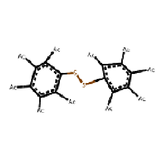 CC(=O)c1c(SSc2c(C(C)=O)c(C(C)=O)c(C(C)=O)c(C(C)=O)c2C(C)=O)c(C(C)=O)c(C(C)=O)c(C(C)=O)c1C(C)=O